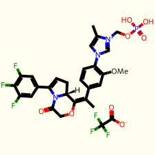 COc1cc(C(C)=C2OCC(=O)N3C(c4cc(F)c(F)c(F)c4)=CC[C@H]23)ccc1-n1cc(C)[n+](COP(=O)(O)O)c1.O=C([O-])C(F)(F)F